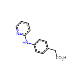 O=C(O)Cc1ccc(Nc2ccccn2)cc1